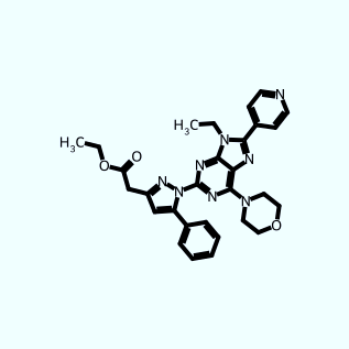 CCOC(=O)Cc1cc(-c2ccccc2)n(-c2nc(N3CCOCC3)c3nc(-c4ccncc4)n(CC)c3n2)n1